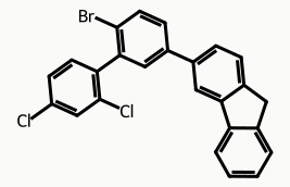 Clc1ccc(-c2cc(-c3ccc4c(c3)-c3ccccc3C4)ccc2Br)c(Cl)c1